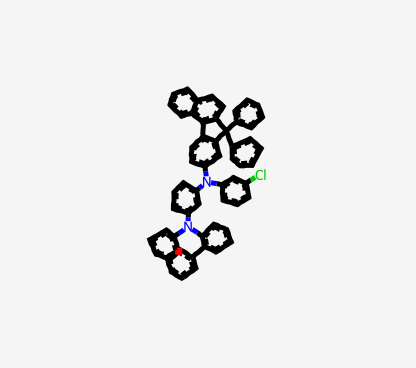 Clc1cccc(N(c2cccc(N(c3ccccc3)c3ccccc3-c3ccccc3)c2)c2ccc3c(c2)C(c2ccccc2)(c2ccccc2)c2ccc4ccccc4c2-3)c1